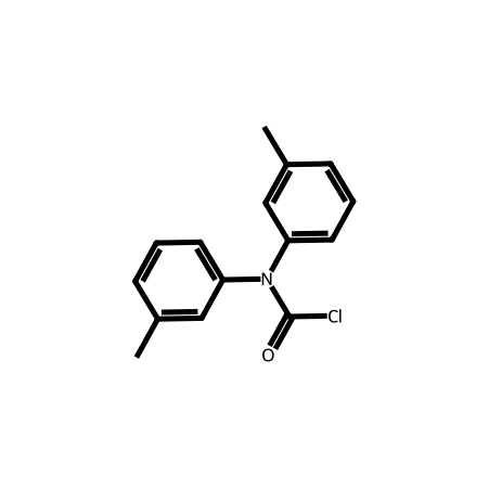 Cc1cccc(N(C(=O)Cl)c2cccc(C)c2)c1